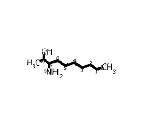 CCCCCCCC(N)C(C)O